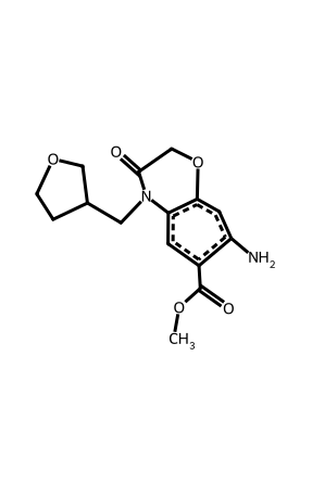 COC(=O)c1cc2c(cc1N)OCC(=O)N2CC1CCOC1